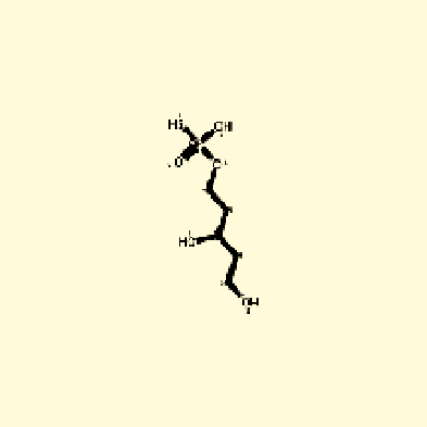 O=P(O)(S)OCCC(O)CCO